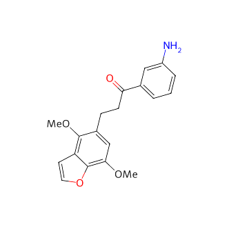 COc1c(CCC(=O)c2cccc(N)c2)cc(OC)c2occc12